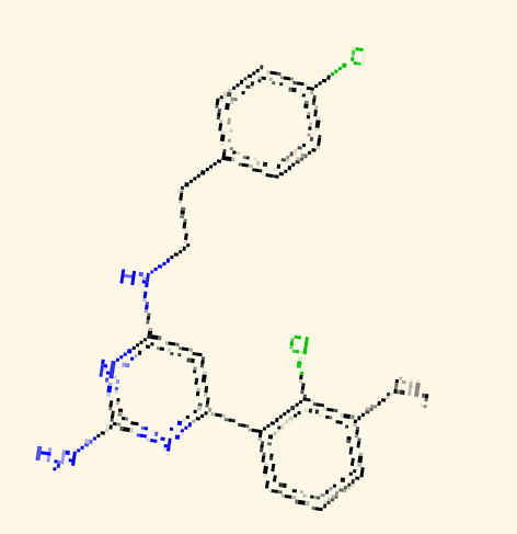 Cc1cccc(-c2cc(NCCc3ccc(Cl)cc3)nc(N)n2)c1Cl